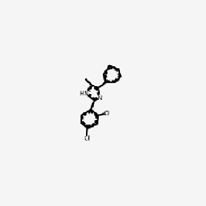 Cc1[nH]c(-c2ccc(Cl)cc2Cl)nc1-c1ccccc1